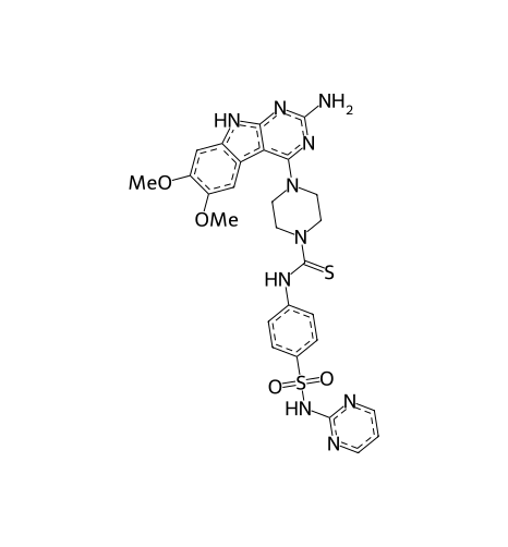 COc1cc2[nH]c3nc(N)nc(N4CCN(C(=S)Nc5ccc(S(=O)(=O)Nc6ncccn6)cc5)CC4)c3c2cc1OC